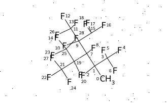 CC(F)(C(F)(F)F)C(F)(C(F)(C(F)(F)F)C(F)(F)F)C(F)(C(F)(F)F)C(F)(F)F